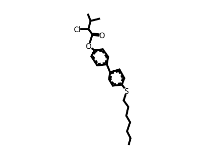 CCCCCCCSc1ccc(-c2ccc(OC(=O)C(Cl)C(C)C)cc2)cc1